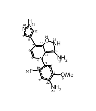 COc1cc(N2C=CC(c3cn[nH]c3)=C3ONC(N)=C32)c(F)cc1N